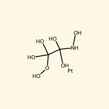 ONC(O)(O)C(O)(O)OO.[Pt]